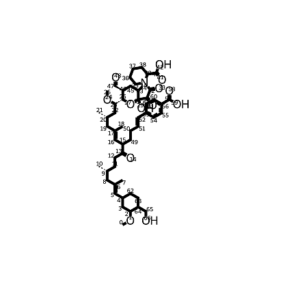 COC1CC(/C=C(\C)C[C@H](C)CCC(=O)C(/C=C(\C)C[C@H](C)CC(OC)[C@H]2OC(O)(C(=O)C(=O)N3CCCCC3C(=O)O)C(C)C[C@@H]2C=O)CC/C=C/c2ccc(C(=O)O)cc2)CCC1CO